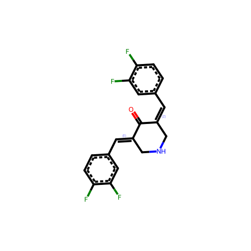 O=C1/C(=C\c2ccc(F)c(F)c2)CNC/C1=C\c1ccc(F)c(F)c1